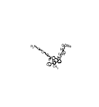 COC(=O)CNC(=O)CNC(=O)Cn1nc(C2CCN(C(=O)CCOCCOCCOCCN)CC2)c2c(-c3cnc(N4CCOCC4)c(C)c3)cccc21